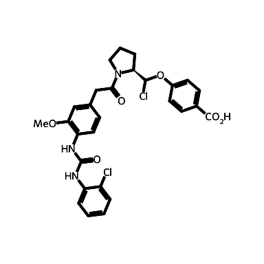 COc1cc(CC(=O)N2CCC[C@H]2C(Cl)Oc2ccc(C(=O)O)cc2)ccc1NC(=O)Nc1ccccc1Cl